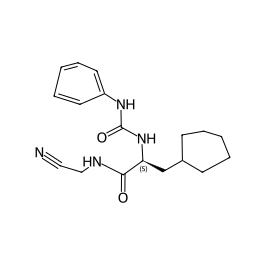 N#CCNC(=O)[C@H](CC1CCCCC1)NC(=O)Nc1ccccc1